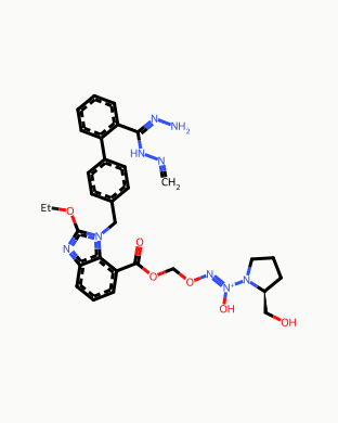 C=NN/C(=N\N)c1ccccc1-c1ccc(Cn2c(OCC)nc3cccc(C(=O)OCO/N=[N+](\O)N4CCC[C@H]4CO)c32)cc1